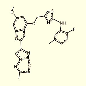 COc1cc(OCc2csc(Nc3cc(C)ccc3F)n2)c2cc(-c3cn4nc(C)ccc4n3)oc2c1